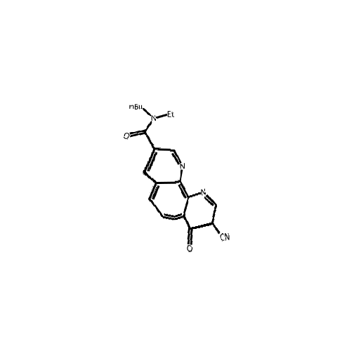 CCCCN(CC)C(=O)c1cnc2c3c(ccc2c1)C(=O)C(C#N)C=N3